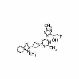 Cc1nc(N2CC(c3nc4ccccc4n3C)C2)cc(-n2nc(C)nc2C(O)CF)n1